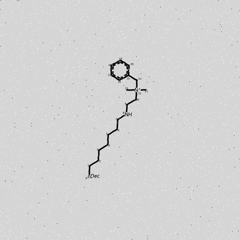 CCCCCCCCCCCCCCCCCNCC[N+](C)(C)Cc1ccccc1